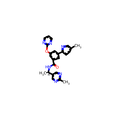 Cc1ccc(-c2cc(Oc3ncccn3)cc(C(=O)N[C@H](C)c3cnc(C)nc3)c2)nc1